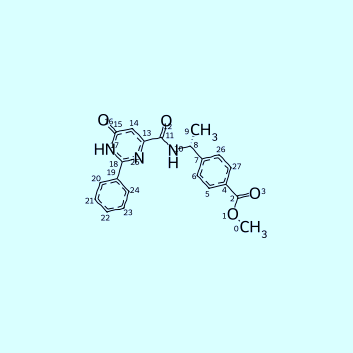 COC(=O)c1ccc([C@@H](C)NC(=O)c2cc(=O)[nH]c(-c3ccccc3)n2)cc1